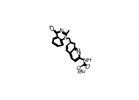 Cc1nc(=O)c2ccccc2n1Cc1ccc2ccc(NC(=O)OC(C)(C)C)nc2c1